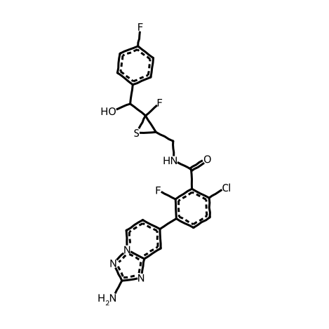 Nc1nc2cc(-c3ccc(Cl)c(C(=O)NCC4SC4(F)C(O)c4ccc(F)cc4)c3F)ccn2n1